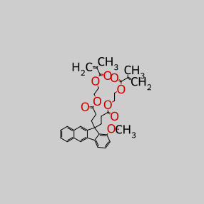 C=C(C)C(=O)OCCOC(=O)CCC1(CCC(=O)OCCOC(=O)C(=C)C)c2cc3ccccc3cc2-c2cccc(OC)c21